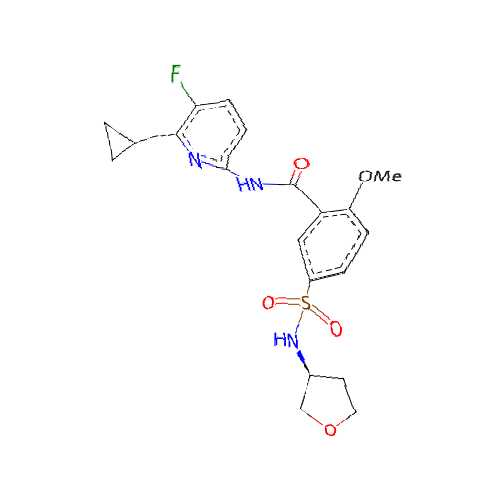 COc1ccc(S(=O)(=O)N[C@H]2CCOC2)cc1C(=O)Nc1ccc(F)c(C2CC2)n1